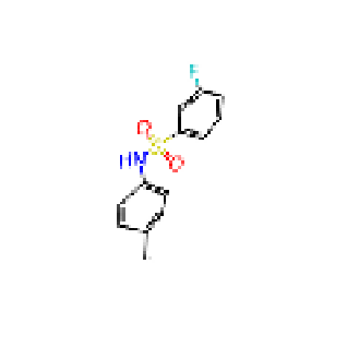 [CH2]c1ccc(NS(=O)(=O)c2cccc(F)c2)cc1